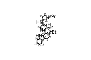 C=C(CC)N1CCc2c([nH]c3ccccc23)[C@H]1c1cnc(N[C@H]2CCN(CCC)C2)cn1